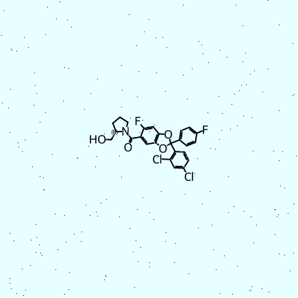 O=C(c1cc2c(cc1F)OC(c1ccc(F)cc1)(c1ccc(Cl)cc1Cl)O2)N1CCC[C@@H]1CO